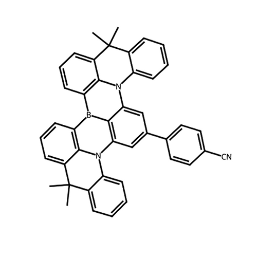 CC1(C)c2ccccc2N2c3cc(-c4ccc(C#N)cc4)cc4c3B(c3cccc1c32)c1cccc2c1N4c1ccccc1C2(C)C